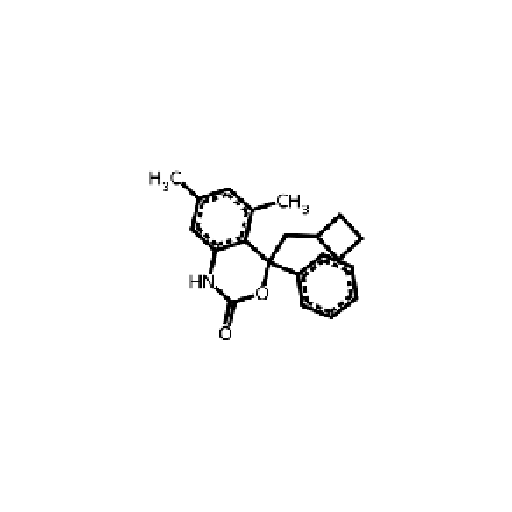 Cc1cc(C)c2c(c1)NC(=O)OC2(CC1CCC1)c1ccccc1